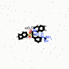 N=C(N)Nc1cccc(C[C@](N)(C(=O)N2Cc3ccccc3CC2C(=O)O)S(=O)(=O)c2ccc3ccccc3c2)c1